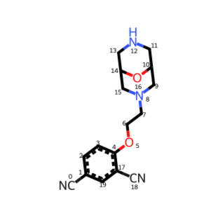 N#Cc1ccc(OCCN2CC3CNCC(C2)O3)c(C#N)c1